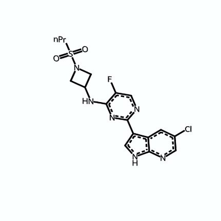 CCCS(=O)(=O)N1CC(Nc2nc(-c3c[nH]c4ncc(Cl)cc34)ncc2F)C1